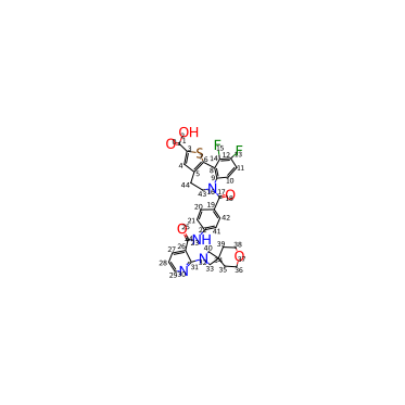 O=C(O)c1cc2c(s1)-c1c(ccc(F)c1F)N(C(=O)c1ccc(NC(=O)c3cccnc3N3CC4(CCOCC4)C3)cc1)CC2